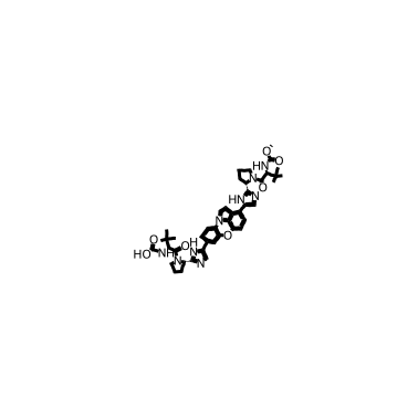 COC(=O)N[C@H](C(=O)N1CCC[C@H]1c1ncc(-c2ccc3c4c2ccn4-c2ccc(-c4cnc([C@@H]5CCCN5C(=O)[C@@H](NC(=O)O)C(C)(C)C)[nH]4)cc2O3)[nH]1)C(C)(C)C